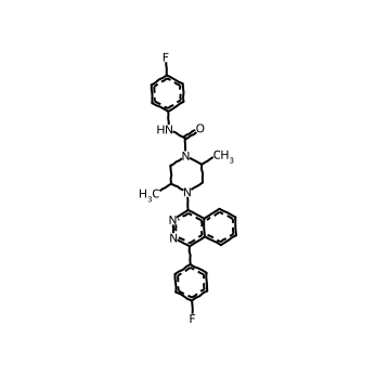 CC1CN(c2nnc(-c3ccc(F)cc3)c3ccccc23)C(C)CN1C(=O)Nc1ccc(F)cc1